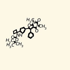 Cn1c(=O)c2c(-c3ccccc3)c(-c3ccc(C4(NC(=O)OC(C)(C)C)CCC4)cc3)oc2n(C)c1=O